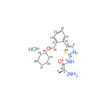 C[C@H](N)C(=O)Nc1ncc(-c2ccccc2COC2CCCCC2)s1.Cl